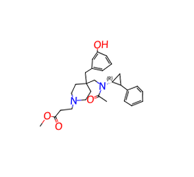 COC(=O)CCN1CCC(Cc2cccc(O)c2)(CN(C(C)=O)[C@@H]2CC2c2ccccc2)CC1